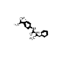 CC(Cc1ccccc1)NC(=O)Nc1ccc(C(C)C)cc1